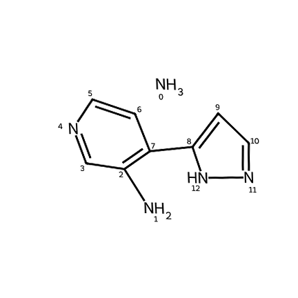 N.Nc1cnccc1-c1ccn[nH]1